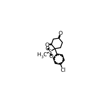 CS(=O)(=O)C1(c2ccc(Cl)cc2)CCC(=O)CC1=O